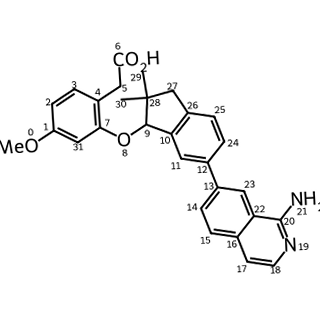 COc1ccc(CC(=O)O)c(OC2c3cc(-c4ccc5ccnc(N)c5c4)ccc3CC2(C)C)c1